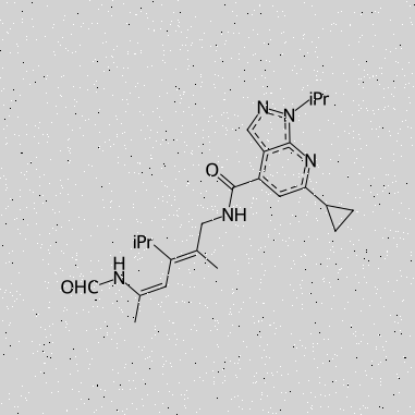 C/C(=C/C(=C(\C)CNC(=O)c1cc(C2CC2)nc2c1cnn2C(C)C)C(C)C)NC=O